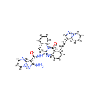 C[C@H](NC(=O)c1c(N)nn2cccnc12)c1nc2cccc(C#Cc3cnn4ccccc34)c2c(=O)n1-c1ccccc1